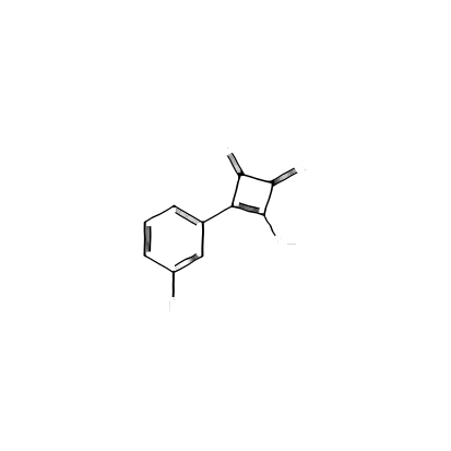 Fc1cccc(-c2c(S)c(=S)c2=S)c1